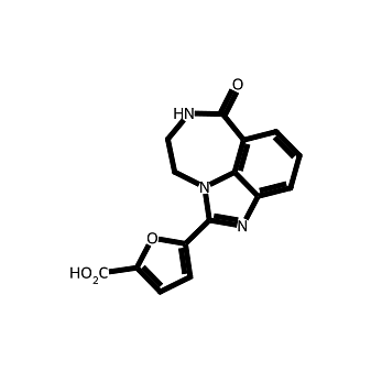 O=C(O)c1ccc(-c2nc3cccc4c3n2CCNC4=O)o1